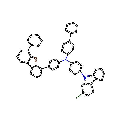 Fc1ccc2c3ccccc3n(-c3ccc(N(c4ccc(-c5ccccc5)cc4)c4ccc(-c5cccc6c5sc5c(-c7ccccc7)cccc56)cc4)cc3)c2c1